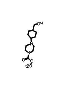 CC(C)(C)OC(=O)N1CCN(C2CCC(CO)CC2)CC1